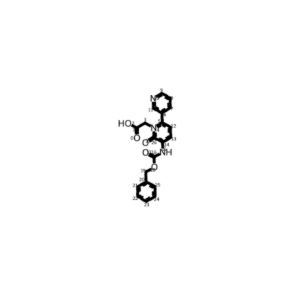 O=C(O)Cn1c(-c2cccnc2)ccc(NC(=O)OCc2ccccc2)c1=O